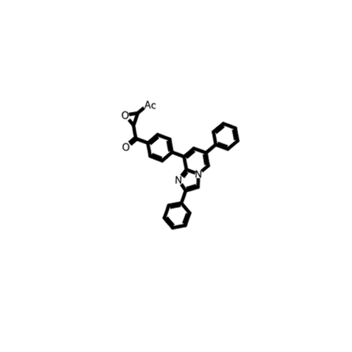 CC(=O)C1OC1C(=O)c1ccc(-c2cc(-c3ccccc3)cn3cc(-c4ccccc4)nc23)cc1